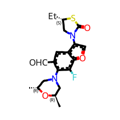 CC[C@H]1CN(c2coc3c(F)c(N4C[C@@H](C)O[C@H](C)C4)c(C=O)cc23)C(=O)S1